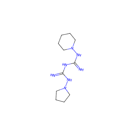 N=C(NC(=N)NN1CCCC1)NN1CCCCC1